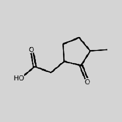 CC1CCC(CC(=O)O)C1=O